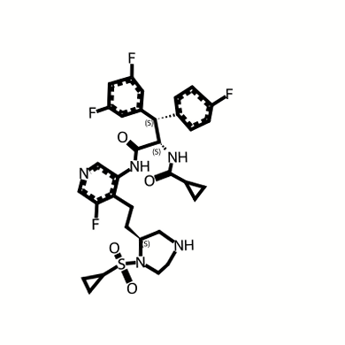 O=C(N[C@H](C(=O)Nc1cncc(F)c1CC[C@H]1CNCCN1S(=O)(=O)C1CC1)[C@@H](c1ccc(F)cc1)c1cc(F)cc(F)c1)C1CC1